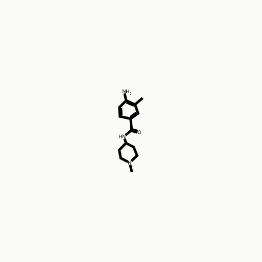 Cc1cc(C(=O)NC2CCN(C)CC2)ccc1N